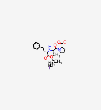 CCOC(=O)[C@H](CCc1ccccc1)N[C@@H](C)C(=O)N1CCC[C@H]1C(=O)[O-].[I-].[Na+].[Na+]